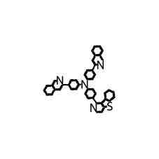 c1ccc2cc(-c3ccc(N(c4ccc(-c5cc6ccccc6cn5)cc4)c4ccc(-c5nccc6sc7ccccc7c56)cc4)cc3)ncc2c1